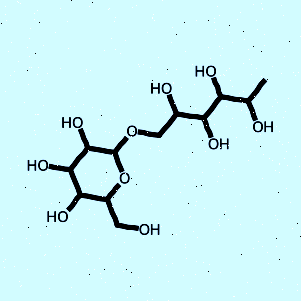 CC(O)C(O)C(O)C(O)COC1OC(CO)C(O)C(O)C1O